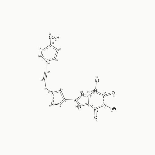 CCCn1c(=O)c2[nH]c(-c3cnn(CC#Cc4ccc(C(=O)O)cc4)c3)nc2n(CC)c1=O